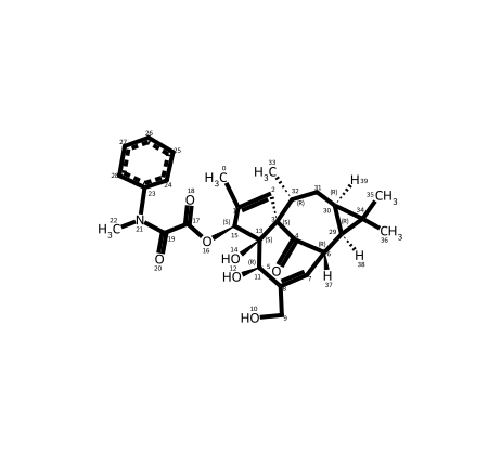 CC1=C[C@]23C(=O)[C@@H](C=C(CO)[C@@H](O)[C@]2(O)[C@H]1OC(=O)C(=O)N(C)c1ccccc1)[C@H]1[C@@H](C[C@H]3C)C1(C)C